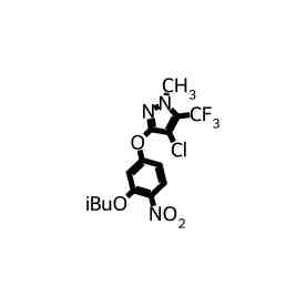 C[C](C)COc1cc(Oc2nn(C)c(C(F)(F)F)c2Cl)ccc1[N+](=O)[O-]